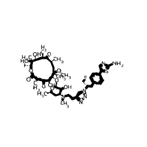 CO[C@]1(C)C[C@@H](C)C(=O)[C@H](C)[C@@H](O)[C@](C)(O)[C@@H](I)OC(=O)[C@H](C)C(=O)[C@H](C)[C@H]1O[C@@H]1O[C@H](C)C[C@H](N(C)CCc2cn([C@H](CF)Cc3ccc(-c4cnc(N)s4)cc3)nn2)C1O